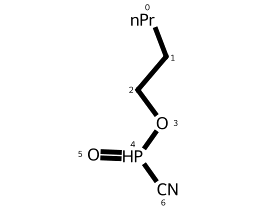 CCCCCO[PH](=O)C#N